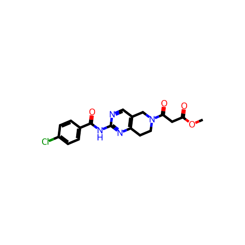 COC(=O)CC(=O)N1CCc2nc(NC(=O)c3ccc(Cl)cc3)ncc2C1